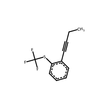 CCC#Cc1ccccc1SC(F)(F)F